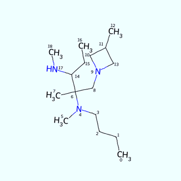 CCCCN(C)C(C)(CN1CC(C)C1)C(CC)NC